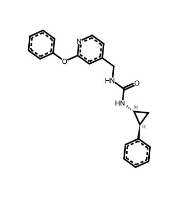 O=C(NCc1ccnc(Oc2ccccc2)c1)N[C@@H]1C[C@H]1c1ccccc1